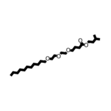 CCCCCCCCCCCOCCOCCOCCCC(=O)OCCC(C)C